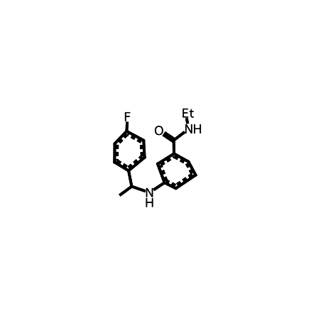 CCNC(=O)c1cccc(NC(C)c2ccc(F)cc2)c1